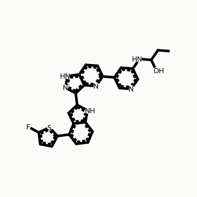 CCC(O)Nc1cncc(-c2ccc3[nH]nc(-c4cc5c(-c6ccc(F)s6)cccc5[nH]4)c3n2)c1